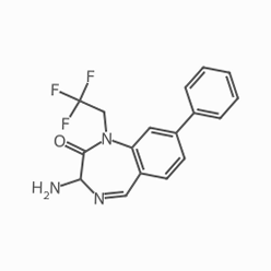 NC1N=Cc2ccc(-c3ccccc3)cc2N(CC(F)(F)F)C1=O